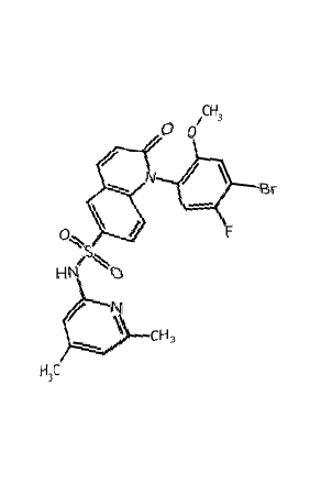 COc1cc(Br)c(F)cc1-n1c(=O)ccc2cc(S(=O)(=O)Nc3cc(C)cc(C)n3)ccc21